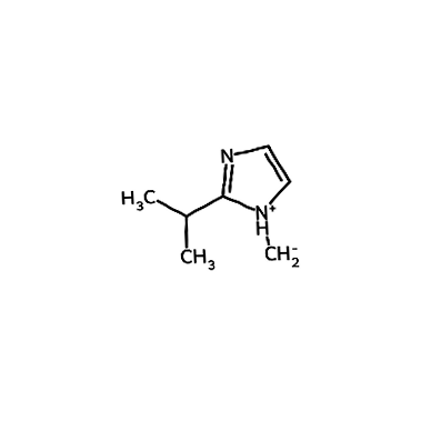 [CH2-][NH+]1C=CN=C1C(C)C